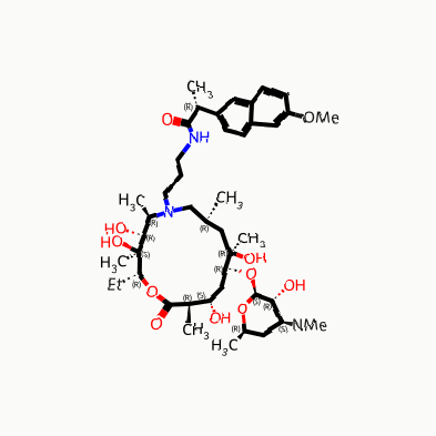 CC[C@H]1OC(=O)[C@H](C)[C@@H](O)C[C@@H](O[C@@H]2O[C@H](C)C[C@H](NC)[C@H]2O)[C@](C)(O)C[C@@H](C)CN(CCCNC(=O)[C@H](C)c2ccc3cc(OC)ccc3c2)[C@H](C)[C@@H](O)[C@]1(C)O